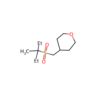 CCC(C)(CC)S(=O)(=O)CC1CCOCC1